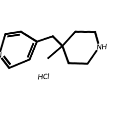 CC1(Cc2ccncc2)CCNCC1.Cl